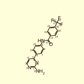 Nc1nccc(-c2ccc(NC(=O)c3ccc(C(F)(F)F)cc3)cc2)n1